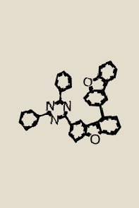 c1ccc(-c2nc(-c3ccccc3)nc(-c3ccc4oc5cccc(-c6ccc7oc8ccccc8c7c6)c5c4c3)n2)cc1